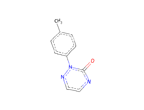 Cc1ccc(-n2nccnc2=O)cc1